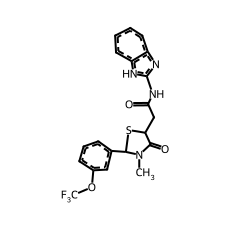 CN1C(=O)C(CC(=O)Nc2nc3ccccc3[nH]2)SC1c1cccc(OC(F)(F)F)c1